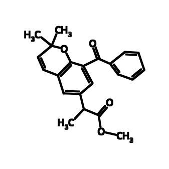 COC(=O)C(C)c1cc2c(c(C(=O)c3ccccc3)c1)OC(C)(C)C=C2